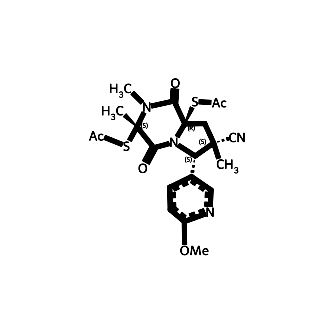 COc1ccc([C@@H]2N3C(=O)[C@](C)(SC(C)=O)N(C)C(=O)[C@]3(SC(C)=O)C[C@]2(C)C#N)cn1